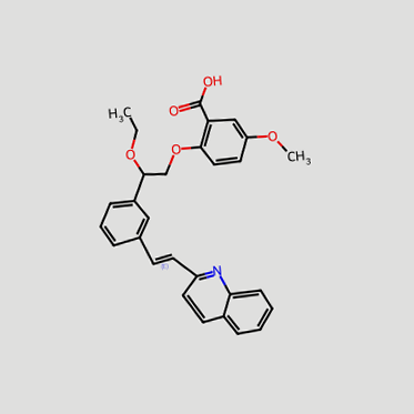 CCOC(COc1ccc(OC)cc1C(=O)O)c1cccc(/C=C/c2ccc3ccccc3n2)c1